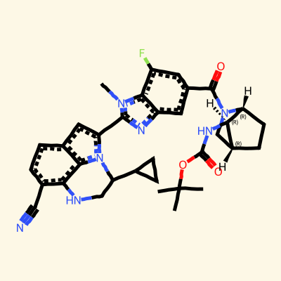 Cn1c(-c2cc3ccc(C#N)c4c3n2C(C2CC2)CN4)nc2cc(C(=O)N3C[C@H]4CC[C@@H]3[C@@H]4NC(=O)OC(C)(C)C)cc(F)c21